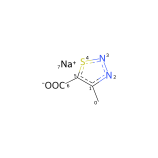 Cc1nnsc1C(=O)[O-].[Na+]